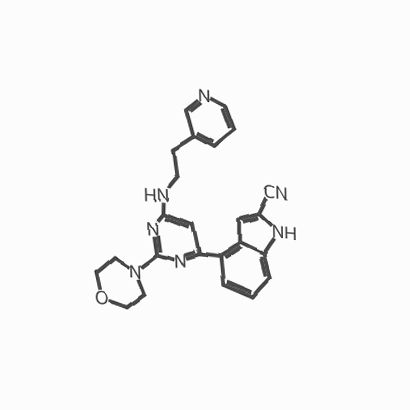 N#Cc1cc2c(-c3cc(NCCc4cccnc4)nc(N4CCOCC4)n3)cccc2[nH]1